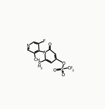 Cc1cncc(F)c1-n1c(C)cc(OS(=O)(=O)C(F)(F)F)cc1=O